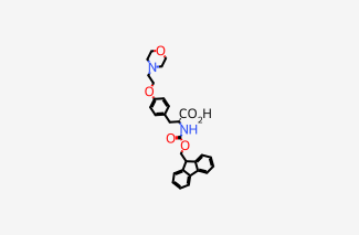 O=C(N[C@H](Cc1ccc(OCCN2CCOCC2)cc1)C(=O)O)OCC1c2ccccc2-c2ccccc21